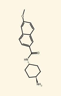 COc1ccc2cc(C(=O)N[C@H]3CC[C@H](N)CC3)ccc2c1